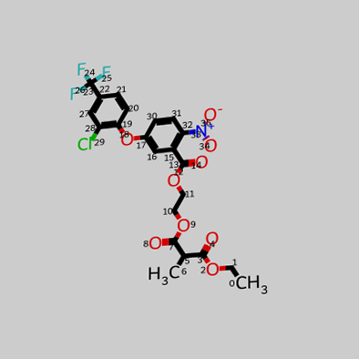 CCOC(=O)C(C)C(=O)OCCOC(=O)c1cc(Oc2ccc(C(F)(F)F)cc2Cl)ccc1[N+](=O)[O-]